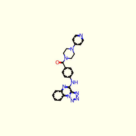 O=C(c1ccc(Nc2nc3ccccc3n3nnnc23)cc1)N1CCN(c2ccncc2)CC1